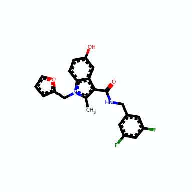 Cc1c(C(=O)NCc2cc(F)cc(F)c2)c2cc(O)ccc2n1Cc1ccco1